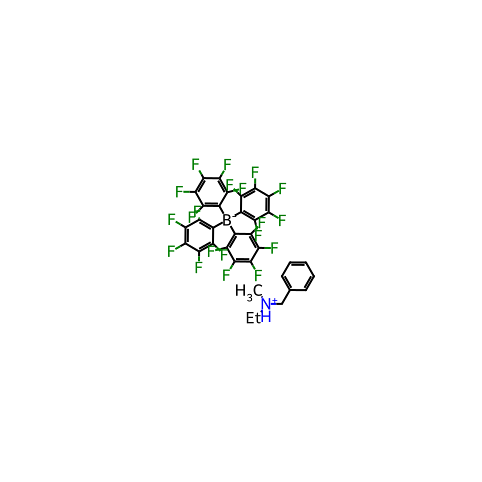 CC[NH+](C)Cc1ccccc1.Fc1c(F)c(F)c([B-](c2c(F)c(F)c(F)c(F)c2F)(c2c(F)c(F)c(F)c(F)c2F)c2c(F)c(F)c(F)c(F)c2F)c(F)c1F